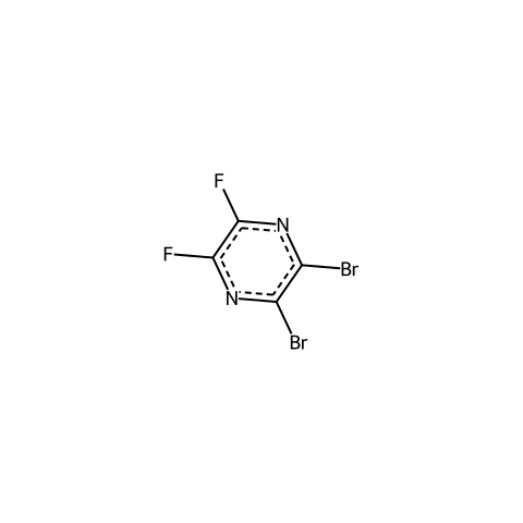 Fc1nc(Br)c(Br)nc1F